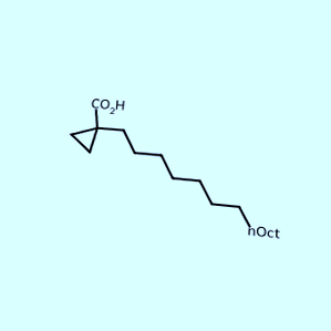 CCCCCCCCCCCCCCCC1(C(=O)O)CC1